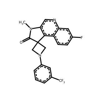 CN1C(=O)C2(CN(c3cccc(C(F)(F)F)c3)C2)c2c1cnc1cc(F)ccc21